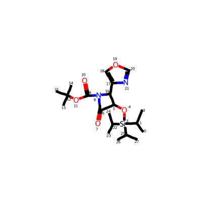 CC(C)[Si](OC1C(=O)N(C(=O)OC(C)(C)C)C1c1cocn1)(C(C)C)C(C)C